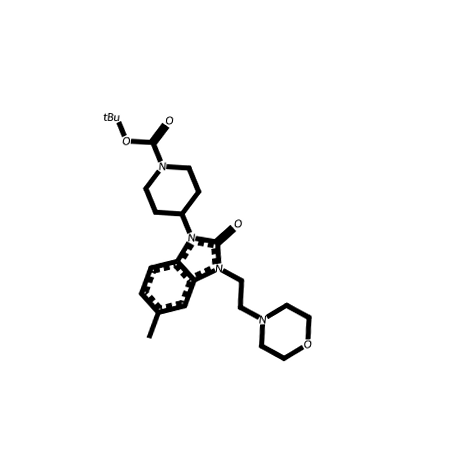 Cc1ccc2c(c1)n(CCN1CCOCC1)c(=O)n2C1CCN(C(=O)OC(C)(C)C)CC1